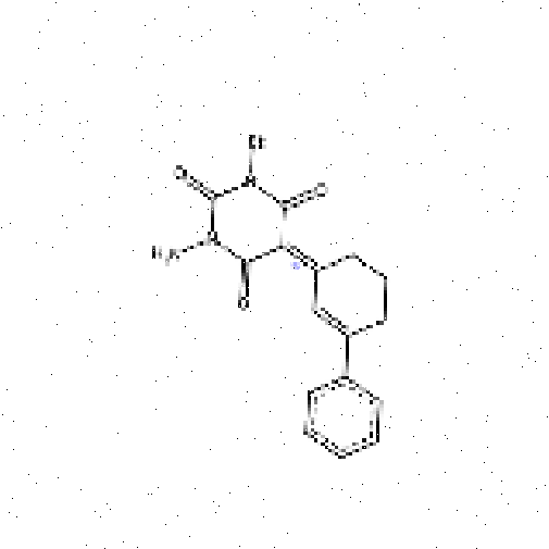 CCN1C(=O)/C(=C2/C=C(c3ccccc3)CCC2)C(=O)N(N)C1=O